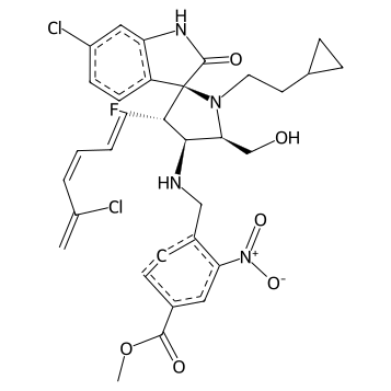 C=C(Cl)/C=C\C=C(/F)[C@H]1[C@H](NCc2ccc(C(=O)OC)cc2[N+](=O)[O-])[C@H](CO)N(CCC2CC2)[C@@]12C(=O)Nc1cc(Cl)ccc12